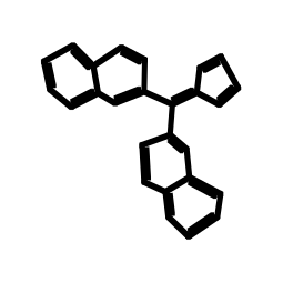 C1=CC(=C(c2ccc3ccccc3c2)c2ccc3ccccc3c2)C=C1